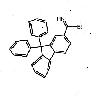 CCC(=N)c1ccc2c(c1)C(c1ccccc1)(c1ccccc1)c1ccccc1-2